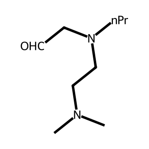 CCCN(CC=O)CCN(C)C